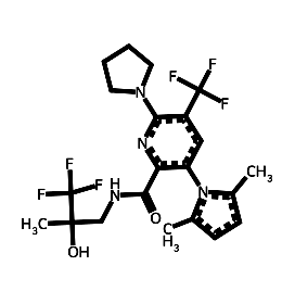 Cc1ccc(C)n1-c1cc(C(F)(F)F)c(N2CCCC2)nc1C(=O)NCC(C)(O)C(F)(F)F